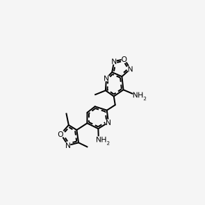 Cc1nc2nonc2c(N)c1Cc1ccc(-c2c(C)noc2C)c(N)n1